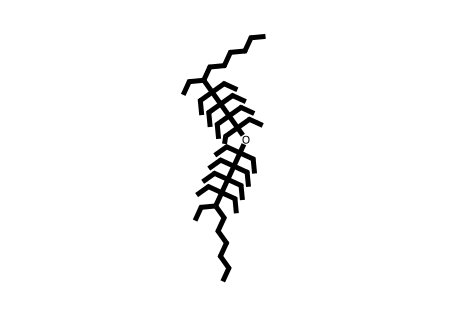 CCCCCCC(CC)C(CC)(CC)C(CC)(CC)C(CC)(CC)C(CC)(CC)OC(CC)(CC)C(CC)(CC)C(CC)(CC)C(CC)(CC)C(CC)CCCCCC